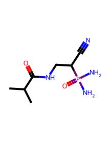 CC(C)C(=O)NCC(C#N)P(N)(N)=O